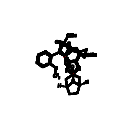 COC(=O)c1cc(OC)c2nc(N3[C@@H]4CC[C@H]3CC(OCc3c(-c5ccccc5OC(F)(F)F)noc3C3CC3)C4)sc2c1